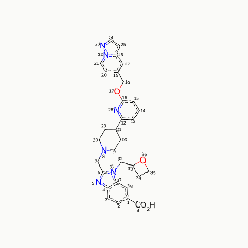 O=C(O)c1ccc2nc(CN3CCC(c4cccc(OCc5ccn6nccc6c5)n4)CC3)n(CC3CCO3)c2c1